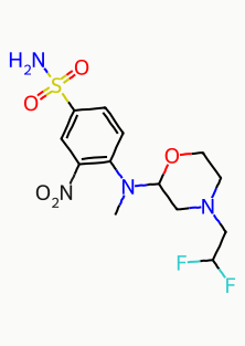 CN(c1ccc(S(N)(=O)=O)cc1[N+](=O)[O-])C1CN(CC(F)F)CCO1